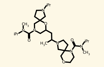 CC(C)N1CCC2(CN(C(=O)N(C)C(C)C)CC(CC(C)N3CCC4(COCCN4C(=O)N(C)C(C)C)C3)O2)C1